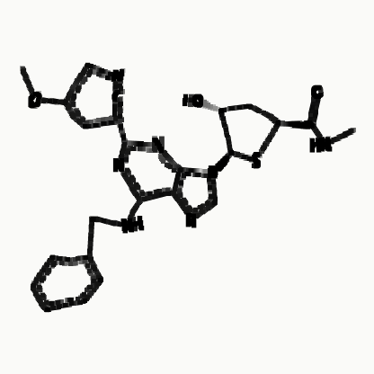 CNC(=O)[C@@H]1C[C@@H](O)[C@H](n2cnc3c(NCc4ccccc4)nc(-c4cncc(OC)c4)nc32)S1